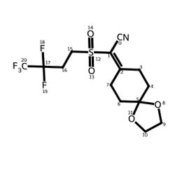 N#CC(=C1CCC2(CC1)OCCO2)S(=O)(=O)CCC(F)(F)C(F)(F)F